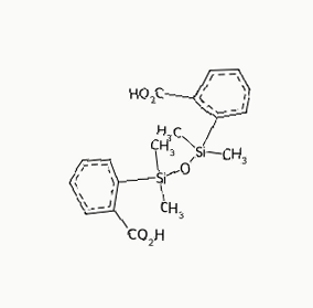 C[Si](C)(O[Si](C)(C)c1ccccc1C(=O)O)c1ccccc1C(=O)O